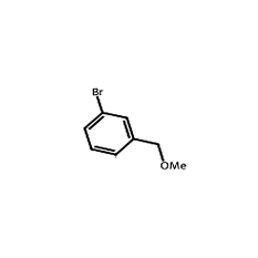 COCc1[c]ccc(Br)c1